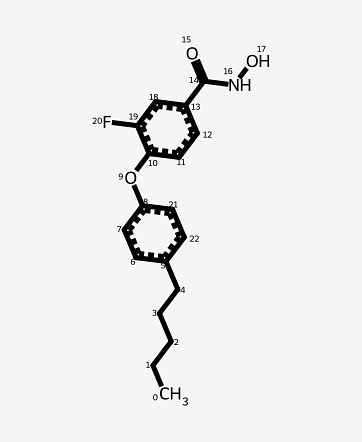 CCCCCc1ccc(Oc2ccc(C(=O)NO)cc2F)cc1